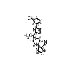 CC(c1nc(-c2cccc(Cl)c2)no1)N1CCN(c2nccnc2C#N)CC1